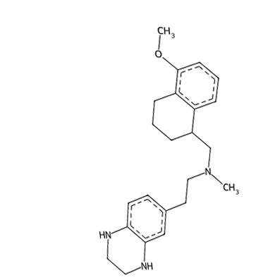 COc1cccc2c1CCCC2CN(C)CCc1ccc2c(c1)NCCN2